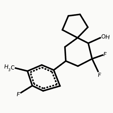 Cc1cc(C2CC(F)(F)C(O)C3(CCCC3)C2)ccc1F